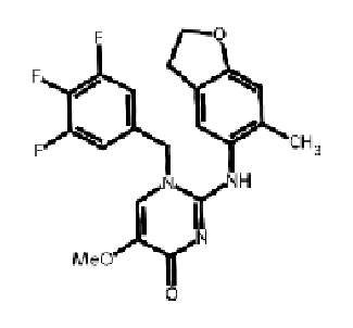 COc1cn(Cc2cc(F)c(F)c(F)c2)c(Nc2cc3c(cc2C)OCC3)nc1=O